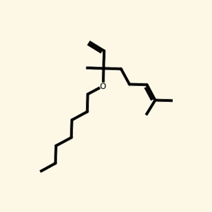 C=CC(C)(CCC=C(C)C)OCCCCCCC